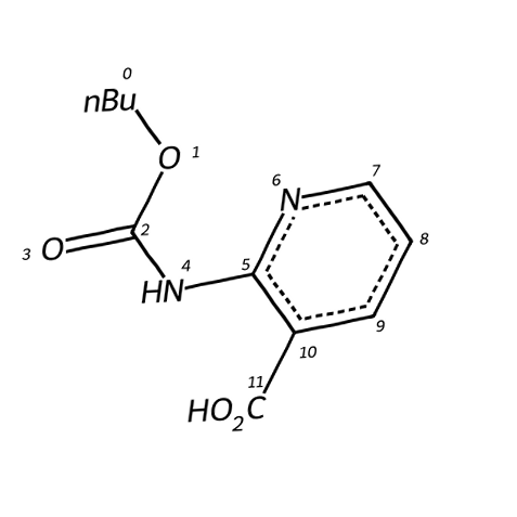 CCCCOC(=O)Nc1ncccc1C(=O)O